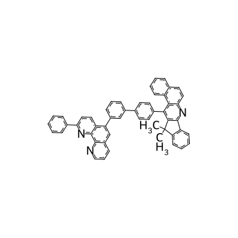 CC1(C)c2ccccc2-c2nc3ccc4ccccc4c3c(-c3ccc(-c4cccc(-c5cc6cccnc6c6nc(-c7ccccc7)ccc56)c4)cc3)c21